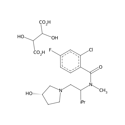 CC(C)C(CN1CC[C@H](O)C1)N(C)C(=O)c1ccc(F)cc1Cl.O=C(O)C(O)C(O)C(=O)O